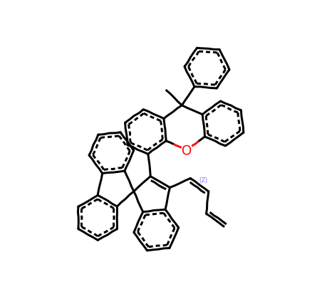 C=C/C=C\C1=C(c2cccc3c2Oc2ccccc2C3(C)c2ccccc2)C2(c3ccccc31)c1ccccc1-c1ccccc12